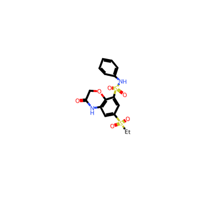 CCS(=O)(=O)c1cc2c(c(S(=O)(=O)Nc3ccccc3)c1)OCC(=O)N2